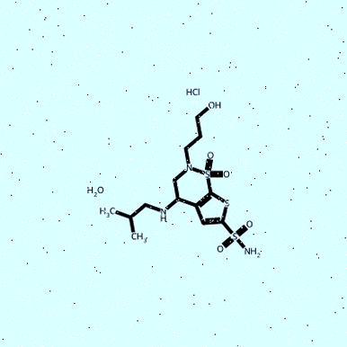 CC(C)CNC1CN(CCCO)S(=O)(=O)c2sc(S(N)(=O)=O)cc21.Cl.O